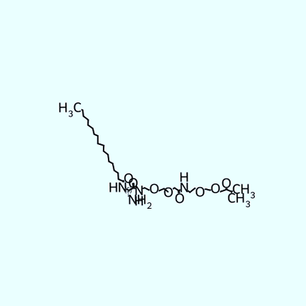 CCCCCCCCCCCCCCCCCC(=O)N[C@@H](CN)C(=O)NCCOCCOCC(=O)NCCOCCOCC(=O)C(C)C